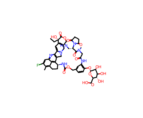 CC[C@@]1(O)C(=O)OCC2=C1C=C1c3nc4cc(F)c(C)c5c4c(c3CN1C2)[C@@H](NC(=O)OCc1ccc(O[C@H]2OC(C(=O)O)[C@@H](O)C(O)C2O)c(NC(=O)CN(C)C(=O)[C@H](CN)N2C(=O)CCC2=O)c1)CC5